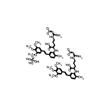 COc1cc(C=Cc2ccc(C)c(NC(CCCN/C(N)=N\[N+](=O)[O-])C(=O)O)c2)cc(OC)c1OC.COc1cc(C=Cc2ccc(C)c(NC(CCCN/C(N)=N\[N+](=O)[O-])C(=O)O)c2)cc(OC)c1OC.O=P(O)(O)O